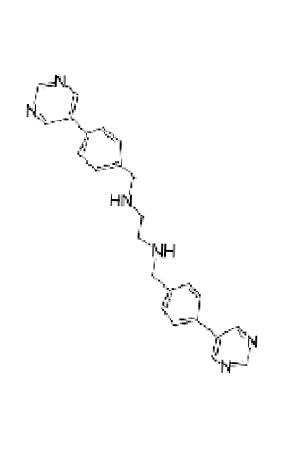 c1ncc(-c2ccc(CNCCNCc3ccc(-c4cncnc4)cc3)cc2)cn1